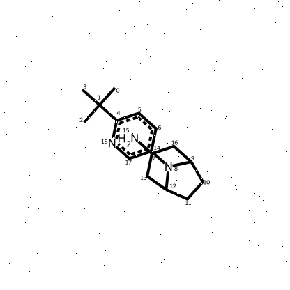 CC(C)(C)c1ccc(N2C3CCC2CC(N)C3)cn1